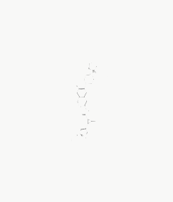 CC1C(C(=O)Nc2cc3cc(C4CCN([C@@]5(C)COC[C@H]5F)CC4)c(Cl)cc3cn2)C1c1cnn(C)c1